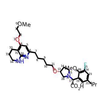 COCCOc1cc(CCCCCO[C@@H]2CCN([C@H](C(=O)O)c3cc(C(C)C)cc(F)c3OC)C2)nc2c1CCCN2